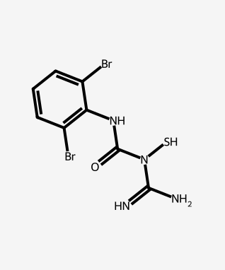 N=C(N)N(S)C(=O)Nc1c(Br)cccc1Br